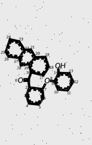 O=C(c1ccccc1Oc1ccccc1O)c1cccc2cc3ccccc3cc12